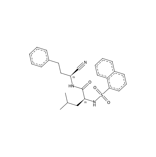 CC(C)C[C@H](NS(=O)(=O)c1cccc2ccccc12)C(=O)N[C@H](C#N)CCc1ccccc1